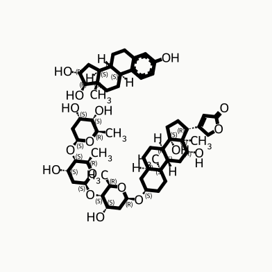 C[C@H]1O[C@@H](O[C@H]2[C@@H](O)C[C@H](O[C@H]3[C@@H](O)C[C@H](O[C@H]4CC[C@@]5(C)[C@H](CC[C@@H]6[C@@H]5C[C@@H](O)[C@]5(C)[C@@H](C7=CC(=O)OC7)CC[C@]65O)C4)O[C@@H]3C)O[C@@H]2C)C[C@H](O)[C@@H]1O.C[C@]12CC[C@@H]3c4ccc(O)cc4CC[C@H]3[C@@H]1C[C@@H](O)[C@@H]2O